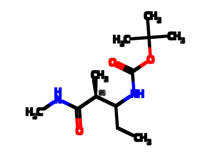 CCC(NC(=O)OC(C)(C)C)[C@H](C)C(=O)NC